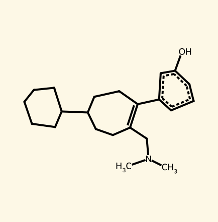 CN(C)CC1=C(c2cccc(O)c2)CCC(C2CCCCC2)CC1